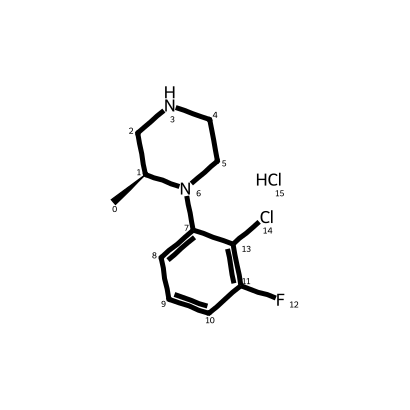 C[C@H]1CNCCN1c1cccc(F)c1Cl.Cl